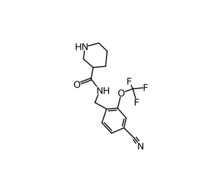 N#Cc1ccc(CNC(=O)C2CCCNC2)c(OC(F)(F)F)c1